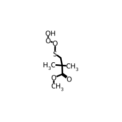 COC(=O)C(C)(C)CSOOO